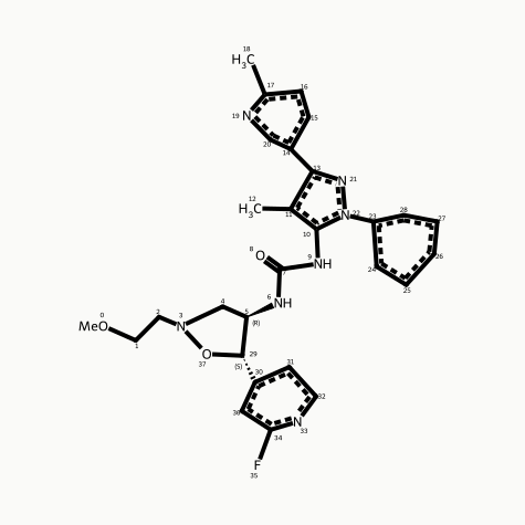 COCCN1C[C@@H](NC(=O)Nc2c(C)c(-c3ccc(C)nc3)nn2-c2ccccc2)[C@H](c2ccnc(F)c2)O1